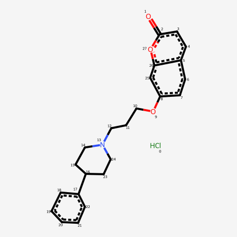 Cl.O=c1ccc2ccc(OCCCN3CCC(c4ccccc4)CC3)cc2o1